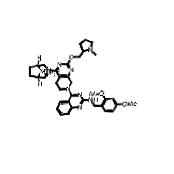 COc1ccc(CNc2nc(N3CCc4c(nc(OCC5CCCN5C)nc4N4C[C@H]5CC[C@@H](C4)N5C(=O)O)C3)c3ccccc3n2)c(OC)c1